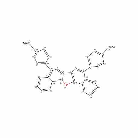 COc1ccc(-c2cc3c4cc(-c5ccc(OC)cc5)c5ccccc5c4oc3c3ccccc23)cc1